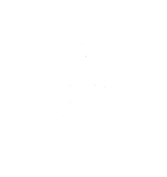 CC1(C)OC2(CCC(N3CCN(c4ccc(F)cc4)CC3)CC2)c2ccccc21.Cl.Cl